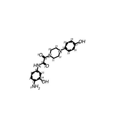 Nc1ccc(NC(=O)C(=O)N2CCN(c3ccc(O)cc3)CC2)cc1O